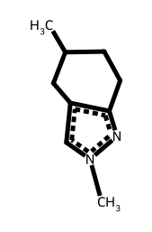 CC1CCc2nn(C)cc2C1